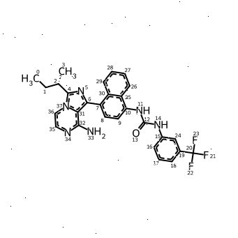 CC[C@H](C)c1nc(-c2ccc(NC(=O)Nc3cccc(C(F)(F)F)c3)c3ccccc23)c2c(N)nccn12